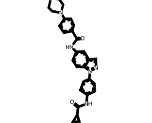 O=C(Nc1ccc2c(cnn2-c2ccc(NC(=O)C3CC3)cc2)c1)c1ccc(N2CCNCC2)cc1